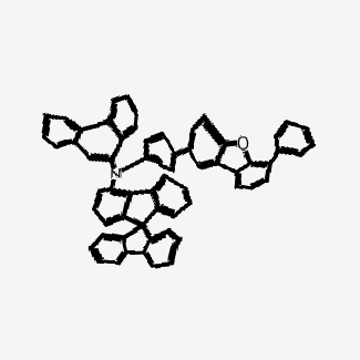 c1ccc(-c2cccc3c2oc2ccc(-c4ccc(N(c5cccc6c5-c5ccccc5C65c6ccccc6-c6ccccc65)c5cc6ccccc6c6ccccc56)cc4)cc23)cc1